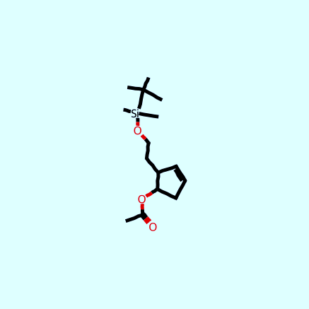 CC(=O)OC1CC=CC1CCO[Si](C)(C)C(C)(C)C